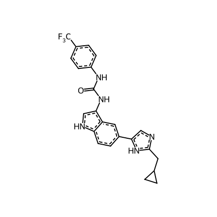 O=C(Nc1ccc(C(F)(F)F)cc1)Nc1c[nH]c2ccc(-c3cnc(CC4CC4)[nH]3)cc12